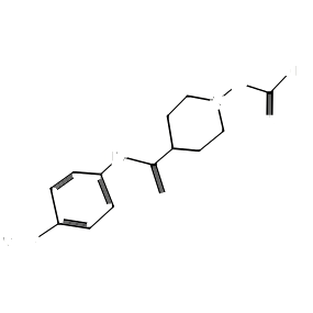 COc1ccc(NC(=O)C2CCN(OC(=O)C(C)(C)C)CC2)cc1